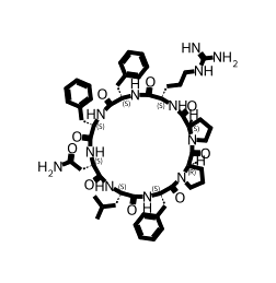 CC(C)C[C@@H]1NC(=O)[C@H](CC(N)=O)NC(=O)[C@H](Cc2ccccc2)NC(=O)[C@H](Cc2ccccc2)NC(=O)[C@H](CCCNC(=N)N)NC(=O)[C@@H]2CCCN2C(=O)[C@H]2CCCN2C(=O)[C@H](Cc2ccccc2)NC1=O